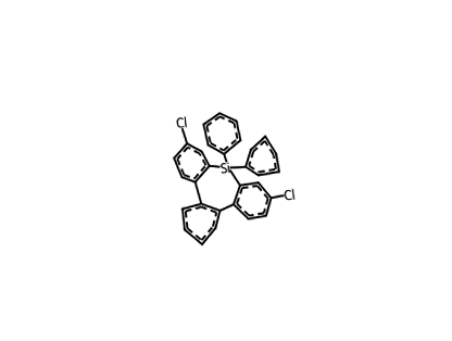 Clc1ccc2c(c1)[Si](c1ccccc1)(c1ccccc1)c1cc(Cl)ccc1-c1ccccc1-2